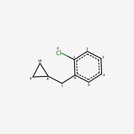 Clc1ccccc1CC1CC1